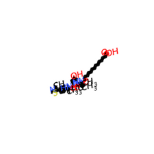 Cc1ncsc1-c1ccc(C(C)NC(=O)[C@@H]2C[C@@H](O)CN2C(=O)C(NC(=O)CCCCCCCCCCCCC(=O)O)C(C)(C)C)cc1